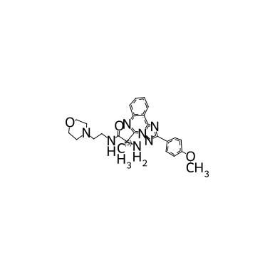 COc1ccc(-c2nc3c4ccccc4nc([C@](C)(N)C(=O)NCCN4CCOCC4)n3n2)cc1